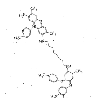 CC1=CC2=Nc3cc(C)c(N)cc3N(c3ccc(C)cc3)C2C=C1NCCCCCCCCNc1cc2c(cc1C)nc1cc(C)c(N)cc1[n+]2-c1ccc(C)cc1